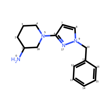 NC1CCCN(c2ccn(Cc3ccccc3)n2)C1